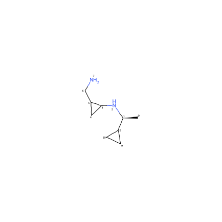 C[C@H](NC1CC1CN)C1CC1